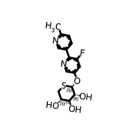 Cc1ccc(-c2ncc(O[C@H]3SC[C@@H](O)[C@H](O)[C@H]3O)cc2F)cn1